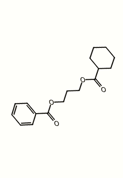 O=C(OCCCOC(=O)C1CCCCC1)c1ccccc1